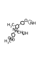 Cc1cc(-c2ccc(OC3CCNCC3)cc2)cc2c1nc(-c1ccc(S(C)(=O)=O)cc1)n2C.Cl